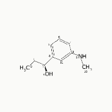 CC[C@H](O)c1cccc(NC)c1